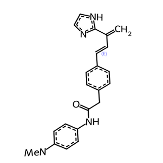 C=C(/C=C/c1ccc(CC(=O)Nc2ccc(NC)cc2)cc1)c1ncc[nH]1